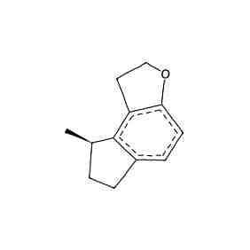 C[C@@H]1CCc2ccc3c(c21)CCO3